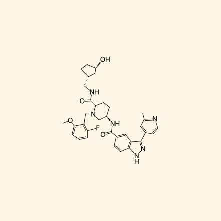 COc1cccc(F)c1CN1C[C@H](NC(=O)c2ccc3[nH]nc(-c4ccnc(C)c4)c3c2)CC[C@H]1C(=O)NC[C@@H]1CC[C@@H](O)C1